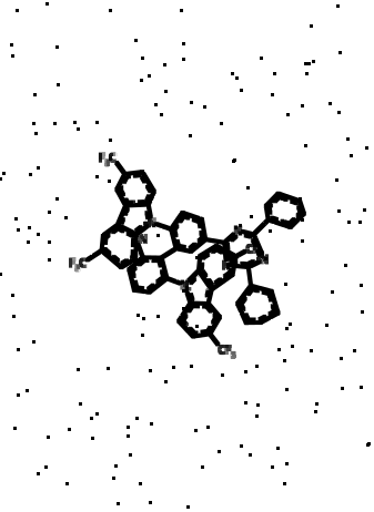 N#Cc1cccc(-n2c3ccc(C(F)(F)F)cc3c3cc(C(F)(F)F)ccc32)c1-c1cc(-c2nc(-c3ccccc3)nc(-c3ccccc3)n2)ccc1-n1c2ccc(C(F)(F)F)cc2c2cc(C(F)(F)F)ccc21